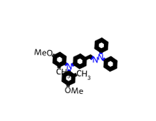 COc1ccc(N(c2ccc(C=NN(c3ccccc3)c3ccccc3)cc2)c2ccc(OC)cc2C)c(C)c1